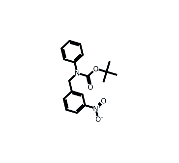 CC(C)(C)OC(=O)N(Cc1cccc([N+](=O)[O-])c1)c1ccccc1